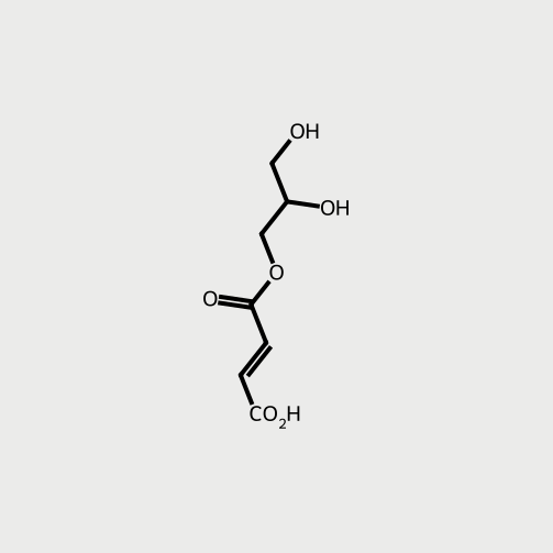 O=C(O)/C=C/C(=O)OCC(O)CO